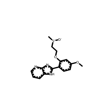 COc1ccc(-c2nc3ncccc3[nH]2)c(OCC[S+](C)[O-])c1